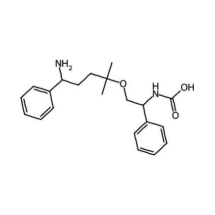 CC(C)(CCC(N)c1ccccc1)OCC(NC(=O)O)c1ccccc1